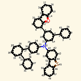 c1ccc(-c2cc(-c3cccc4c3oc3ccccc34)cc(N(c3ccc(-c4ccccc4-c4ccccc4)cc3)c3ccc4sc5ccccc5c4c3)c2)cc1